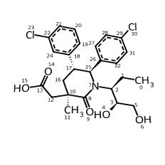 CC[C@@H]([C@H](O)CO)N1C(=O)[C@@](C)(CC(=O)O)C[C@H](c2cccc(Cl)c2)[C@H]1c1ccc(Cl)cc1